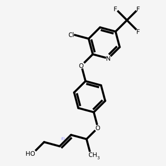 CC(/C=C/CO)Oc1ccc(Oc2ncc(C(F)(F)F)cc2Cl)cc1